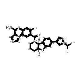 Nc1nc2cc(F)c(C(=O)N3CCC[C@@H]4Oc5cc(-c6cnn(C(F)F)c6)ccc5[C@@H]43)cc2n2cncc12